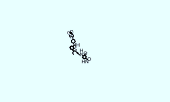 CCc1c(C#CCNc2ccc(C(=O)NC)cc2OC)sc2c(NC3CCC(N4CCS(=O)(=O)CC4)CC3)cccc12